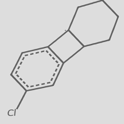 Clc1ccc2c(c1)C1CCCC[C]21